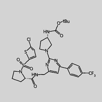 CC(C)(C)OC(=O)N[C@H]1CCN(c2nc(CNC(=O)[C@@H]3CCCN3S(=O)(=O)c3ccc(Cl)s3)cc(-c3ccc(C(F)(F)F)cc3)n2)C1